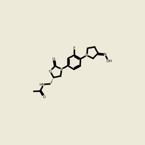 CC(=O)NC[C@H]1CN(c2ccc(N3CC/C(=N/O)C3)c(F)c2)C(=O)O1